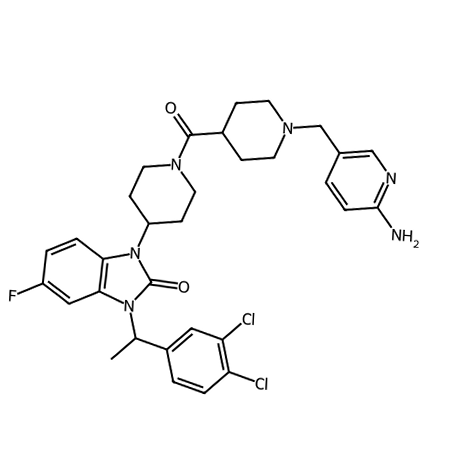 CC(c1ccc(Cl)c(Cl)c1)n1c(=O)n(C2CCN(C(=O)C3CCN(Cc4ccc(N)nc4)CC3)CC2)c2ccc(F)cc21